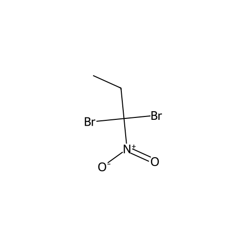 CCC(Br)(Br)[N+](=O)[O-]